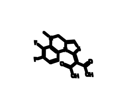 CN1CC2=CSC(=C(C(=O)O)C(=O)O)N2c2ccc(F)c(F)c21